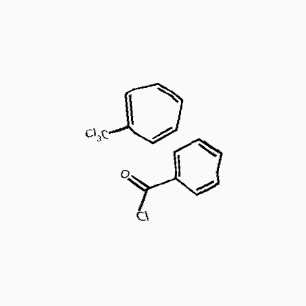 ClC(Cl)(Cl)c1ccccc1.O=C(Cl)c1ccccc1